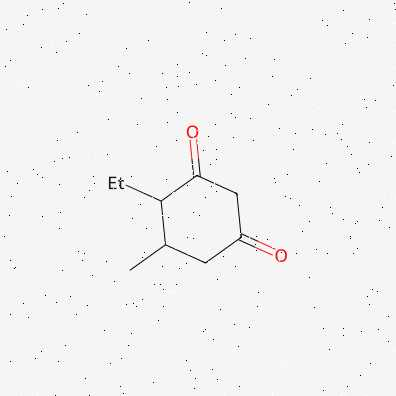 CCC1C(=O)CC(=O)CC1C